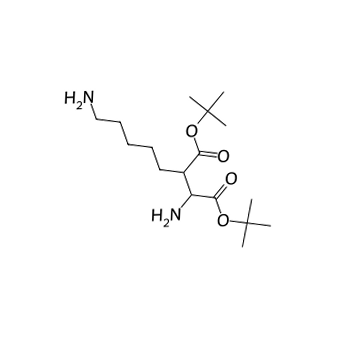 CC(C)(C)OC(=O)C(N)C(CCCCCN)C(=O)OC(C)(C)C